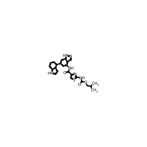 CC(C)COC(=O)Nc1nc(C(=O)Nc2cc(-c3cccc4[nH]ccc34)cc3[nH]ncc23)cs1